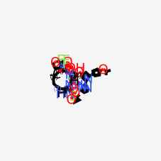 CC(C)Oc1ccc(-c2cc(O[C@@H]3C[C@H]4C(=O)N[C@]5(C(=O)NS(=O)(=O)C6(C)CC6)C[C@H]5/C=C\CC[C@@H](C)C[C@@H](C)[C@H](N(C(=O)O)C5(C(F)(F)F)CCCOC5)C(=O)N4C3)cc(-c3ncccn3)n2)cc1